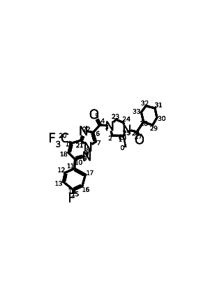 C[C@H]1CN(C(=O)c2cn3nc(-c4ccc(F)cc4)cc(C(F)(F)F)c3n2)CCN1C(=O)C1CCCCC1